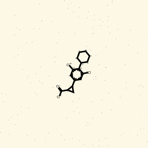 O=C(Cl)C1CC1c1cc(Cl)c(C2CCCCC2)c(Cl)c1